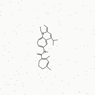 C=C(C1=C(C)C=C(C)CCC1)N(C)C1=CCC=C2C(=C1)C(C(C)C)=C/C(=C/C)N2CC